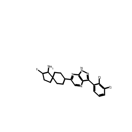 NC1C(F)CCC12CCC(c1cnc3c(-c4cccc(Cl)c4Cl)n[nH]c3n1)CC2